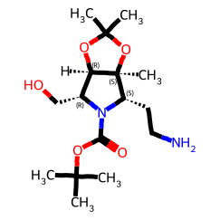 CC(C)(C)OC(=O)N1[C@H](CO)[C@H]2OC(C)(C)O[C@@]2(C)[C@@H]1CCN